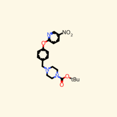 CC(C)(C)OC(=O)N1CCN(Cc2ccc(Oc3ccc([N+](=O)[O-])cn3)cc2)CC1